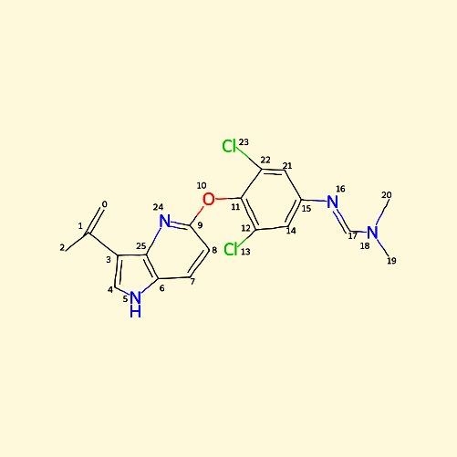 C=C(C)c1c[nH]c2ccc(Oc3c(Cl)cc(N=CN(C)C)cc3Cl)nc12